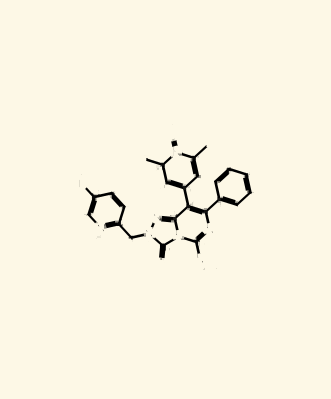 CC1=CC(c2c(-c3ccccc3)nc(N)n3c(=O)n(Cc4ccc(F)cn4)nc23)=CC(C)[N+]1=O